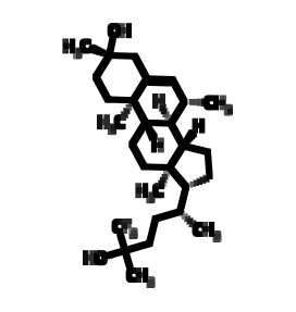 C[C@H](CCC(C)(O)C(F)(F)F)[C@H]1CC[C@H]2[C@@H]3[C@@H](C)C=C4C[C@@](C)(O)CC[C@]4(C)[C@H]3CC[C@]12C